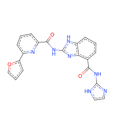 O=C(Nc1nc2c(C(=O)Nc3ncc[nH]3)cccc2[nH]1)c1cccc(-c2ccco2)n1